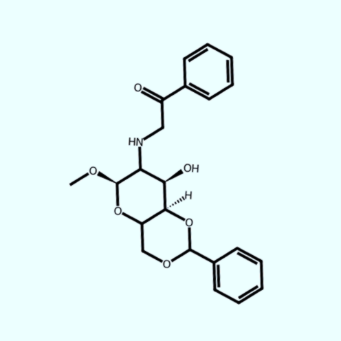 CO[C@@H]1OC2COC(c3ccccc3)O[C@@H]2[C@H](O)C1NCC(=O)c1ccccc1